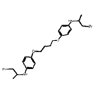 CC(C)CC(C)Nc1ccc(OCCCCOc2ccc(NC(C)CC(C)C)cc2)cc1